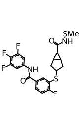 CSNC(=O)C1C2CC(Sc3cc(C(=O)Nc4cc(F)c(F)c(F)c4)ccc3F)CC21